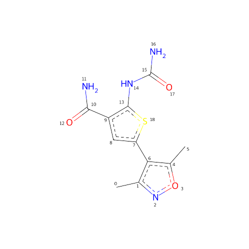 Cc1noc(C)c1-c1cc(C(N)=O)c(NC(N)=O)s1